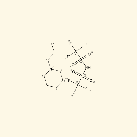 CCCN1CCCCC1.O=S(=O)(NS(=O)(=O)C(F)(F)F)C(F)(F)F